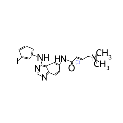 CN(C)C/C=C/C(=O)Nc1ccc2ncnc(Nc3cccc(I)c3)c2c1